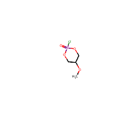 COC1COP(=O)(Cl)OC1